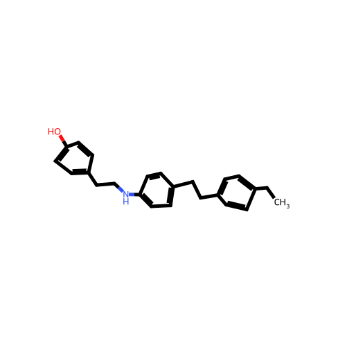 CCc1ccc(CCc2ccc(NCCc3ccc(O)cc3)cc2)cc1